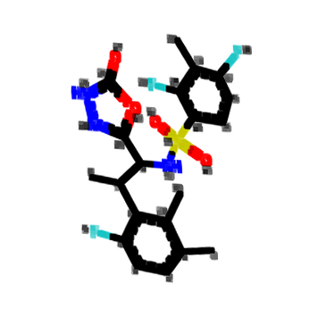 Cc1ccc(F)c(C(C)C(NS(=O)(=O)c2ccc(F)c(C)c2F)c2n[nH]c(=O)o2)c1C